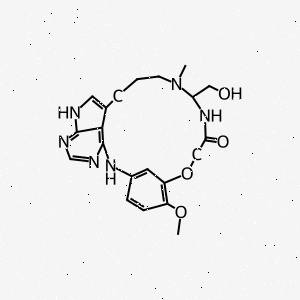 COc1ccc2cc1OCC(=O)NC(CO)N(C)CCCc1c[nH]c3ncnc(c13)N2